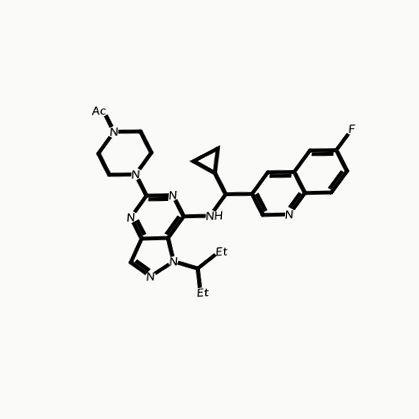 CCC(CC)n1ncc2nc(N3CCN(C(C)=O)CC3)nc(NC(c3cnc4ccc(F)cc4c3)C3CC3)c21